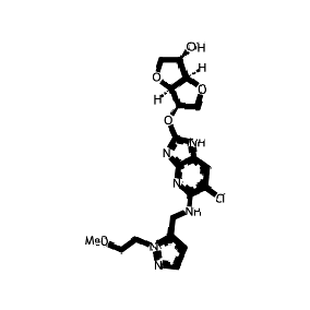 COCCn1nccc1CNc1nc2nc(O[C@@H]3CO[C@H]4[C@@H]3OC[C@H]4O)[nH]c2cc1Cl